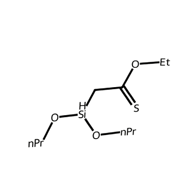 CCCO[SiH](CC(=S)OCC)OCCC